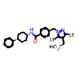 CCc1nn(Cc2ccc(C(=O)N[C@H]3CC[C@H](c4ccccc4)CC3)cc2)c(CC)c1CC(=O)O